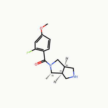 COc1ccc(C(=O)N2C[C@H]3CNC[C@H]3[C@@H]2C)c(F)c1